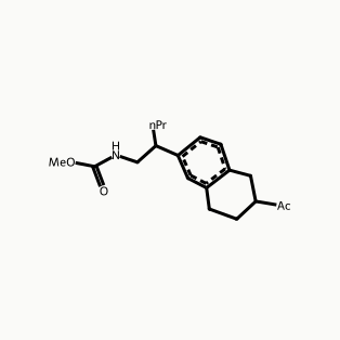 CCCC(CNC(=O)OC)c1ccc2c(c1)CCC(C(C)=O)C2